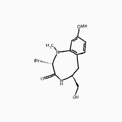 COc1ccc2c(c1)N(C)[C@@H](C(C)C)C(=O)N[C@H](CO)C2